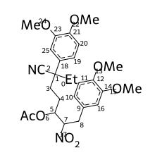 CCC(C#N)(CCC(OC(C)=O)C(Cc1ccc(OC)c(OC)c1)[N+](=O)[O-])c1ccc(OC)c(OC)c1